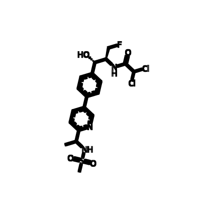 CC(NS(C)(=O)=O)c1ccc(-c2ccc([C@H](O)[C@@H](CF)NC(=O)C(Cl)Cl)cc2)cn1